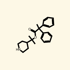 CC(C(=O)OC(C)(C)C1CCNCC1)(c1ccccc1)c1ccccc1